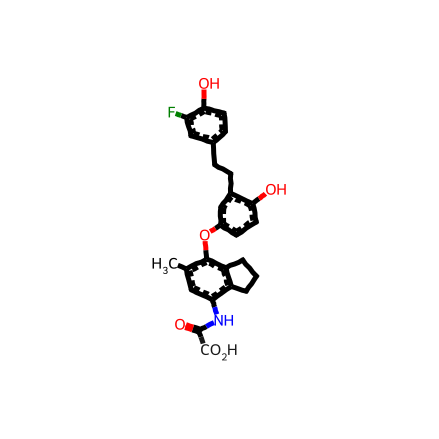 Cc1cc(NC(=O)C(=O)O)c2c(c1Oc1ccc(O)c(CCc3ccc(O)c(F)c3)c1)CCC2